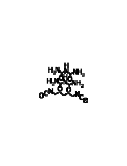 NC(=O)NC(N)=O.NC(=O)NC(N)=O.O=C=NCCCCCN=C=O